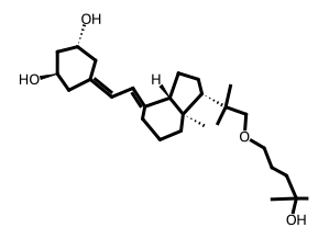 CC(C)(O)CCCOCC(C)(C)[C@H]1CC[C@H]2/C(=C/C=C3C[C@@H](O)C[C@H](O)C3)CCC[C@]12C